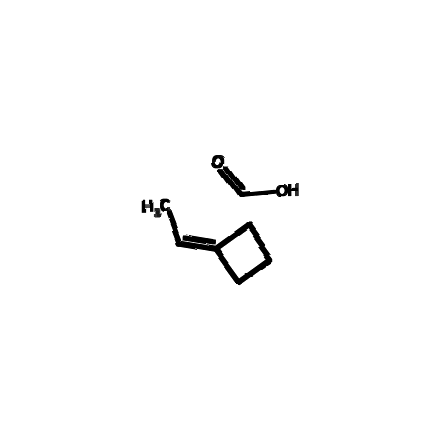 CC=C1CCC1.O=CO